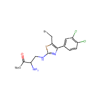 COC(=O)C(N)CNc1nc(-c2ccc(Cl)c(Cl)c2)c(CC(C)C)s1